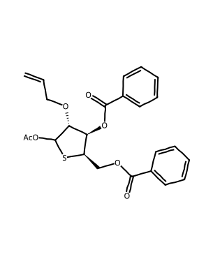 C=CCO[C@H]1C(OC(C)=O)S[C@H](COC(=O)c2ccccc2)[C@@H]1OC(=O)c1ccccc1